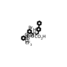 O=C(N[C@@H](Cc1ccc(-c2ccccc2)cc1)C(=O)O)c1cc(Br)ccc1NS(=O)(=O)c1ccccc1OC(F)(F)F